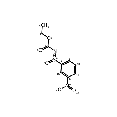 CCOC(=O)/N=[SH](=O)/c1cccc([N+](=O)[O-])c1